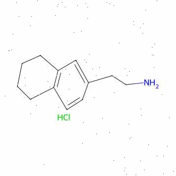 Cl.NCCc1ccc2c(c1)CCCC2